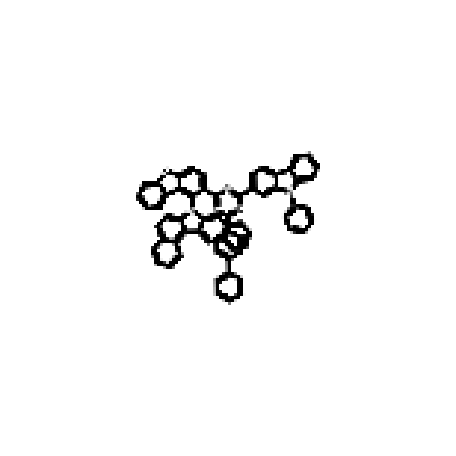 c1ccc(-c2ccc(-c3nc(-c4ccc5c6ccccc6n(-c6ccccc6)c5c4)nc(-c4ccc5sc6ccccc6c5c4-n4c5cc6ccccc6cc5c5c6ccccc6ccc54)n3)cc2)cc1